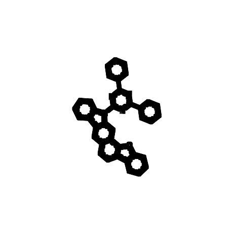 c1ccc(-c2nc(-c3ccccc3)nc(-n3c4ccccc4c4cc5ccc6c7ccccc7oc6c5cc43)n2)cc1